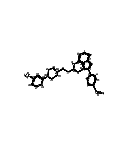 COc1ccc(-c2cc3cccc4c3n2CC(CCN2CCN(c3cc(C)ccn3)CC2)O4)cc1